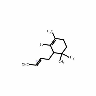 CCC1=C(C)CCC(C)(C)C1C/C=C/C=O